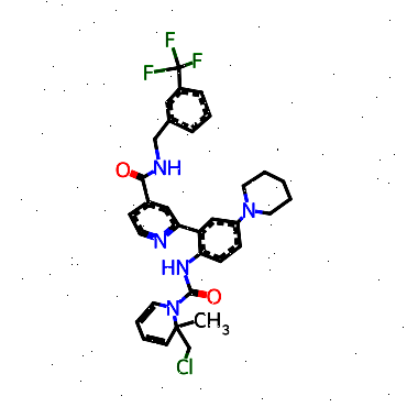 CC1(CCl)C=CC=CN1C(=O)Nc1ccc(N2CCCCC2)cc1-c1cc(C(=O)NCc2cccc(C(F)(F)F)c2)ccn1